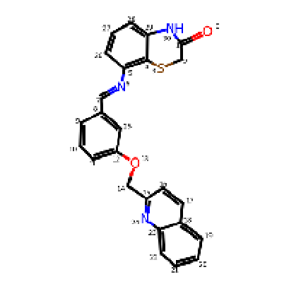 O=C1CSc2c(N=Cc3cccc(OCc4ccc5ccccc5n4)c3)cccc2N1